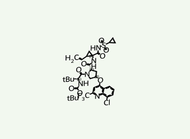 C=CC1C[C@]1(NC(=O)[C@@H]1C[C@@H](Oc2cc(C(F)(F)F)nc3c(Cl)cccc23)CN1C(=O)[C@@H](NC(=O)OC(C)(C)C)C(C)(C)C)C(=O)NS(=O)(=O)C1CC1